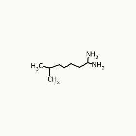 CC(C)CCCCC(N)N